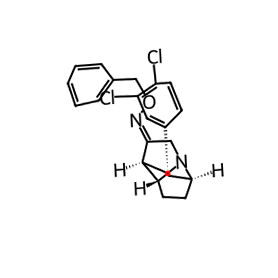 Clc1ccc([C@H]2C[C@@H]3CC[C@@H]4[C@H]2/C(=N/OCc2ccccc2)CN34)cc1Cl